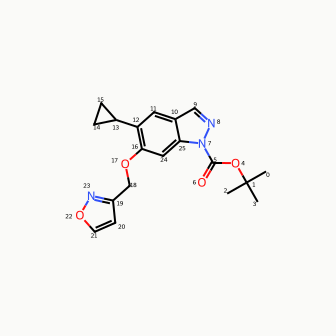 CC(C)(C)OC(=O)n1ncc2cc(C3CC3)c(OCc3ccon3)cc21